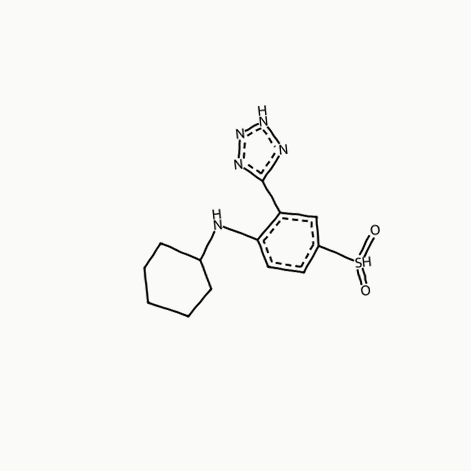 O=[SH](=O)c1ccc(NC2CCCCC2)c(-c2nn[nH]n2)c1